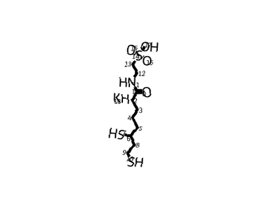 O=C(CCCCC(S)CCS)NCCS(=O)(=O)O.[KH]